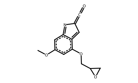 COc1cc(OCC2CO2)c2c(c1)=NC(=C=O)C=2